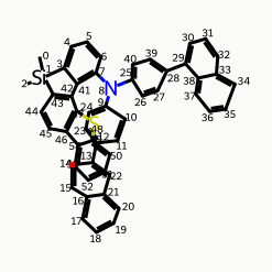 C[Si]1(C)c2cccc(N(c3ccc(-c4ccc5ccccc5c4)cc3)c3ccc(-c4cccc5ccccc45)cc3)c2-c2c1ccc1c2sc2ccccc21